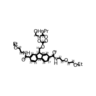 CCCC(=O)N(CO)OC(=O)OCC1c2cc(C(=O)NCCOCC)ccc2-c2ccc(C(=O)NCCOCCOCC)cc21